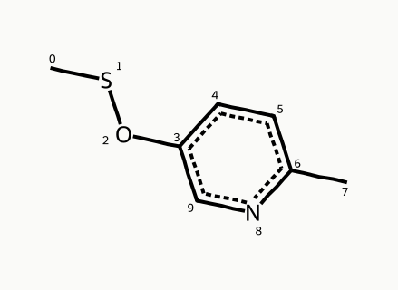 CSOc1ccc(C)nc1